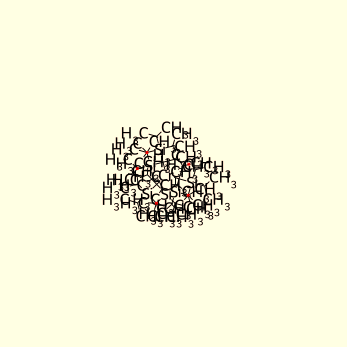 CC(C)[C]([Cr]([C](C(C)C)([Si](C(C)C)(C(C)C)C(C)C)[Si](C(C)C)(C(C)C)C(C)C)[C](C(C)C)([Si](C(C)C)(C(C)C)C(C)C)[Si](C(C)C)(C(C)C)C(C)C)([Si](C(C)C)(C(C)C)C(C)C)[Si](C(C)C)(C(C)C)C(C)C